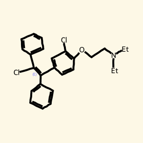 CCN(CC)CCOc1ccc(/C(=C(/Cl)c2ccccc2)c2ccccc2)cc1Cl